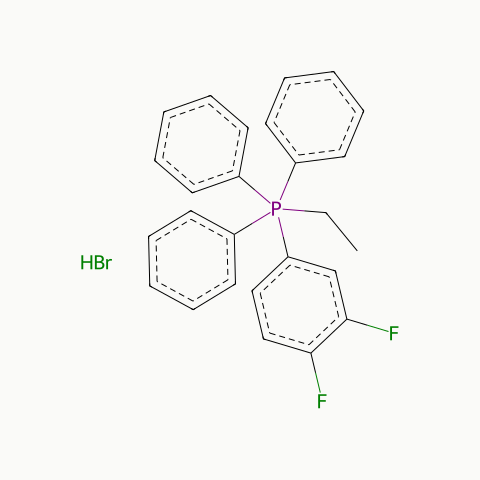 Br.CCP(c1ccccc1)(c1ccccc1)(c1ccccc1)c1ccc(F)c(F)c1